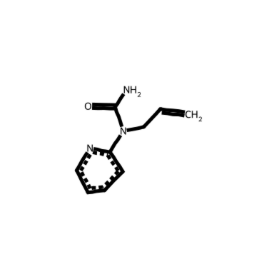 C=CCN(C(N)=O)c1ccccn1